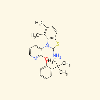 Cc1ccc2c(c1C)N(c1cccnc1Oc1ccccc1C(C)(C)C)C(N)S2